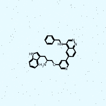 N[C@H](COc1cncc(-c2ccc3nncc(NCc4ccccc4)c3c2)c1)Cc1c[nH]c2ccccc12